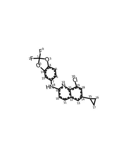 FC1(F)Oc2ccc(Nc3ccc4cc(C5CC5)cc(Cl)c4n3)cc2O1